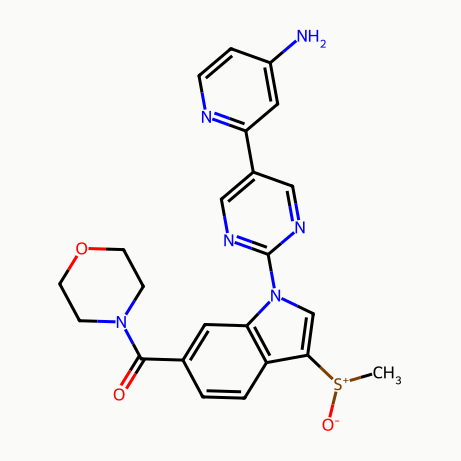 C[S+]([O-])c1cn(-c2ncc(-c3cc(N)ccn3)cn2)c2cc(C(=O)N3CCOCC3)ccc12